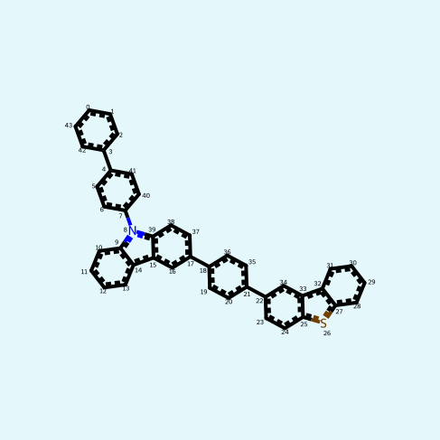 c1ccc(-c2ccc(-n3c4ccccc4c4cc(-c5ccc(-c6ccc7sc8ccccc8c7c6)cc5)ccc43)cc2)cc1